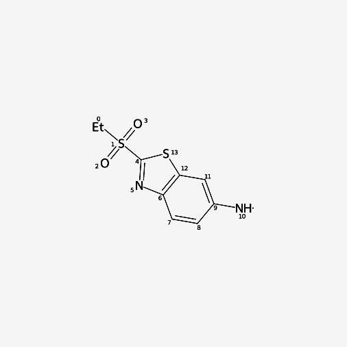 CCS(=O)(=O)c1nc2ccc([NH])cc2s1